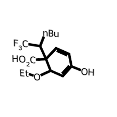 CCCCC(C(F)(F)F)C1(C(=O)O)C=CC(O)=CC1OCC